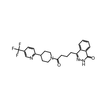 O=C(CCCc1n[nH]c(=O)c2ccccc12)N1CCC(c2ccc(C(F)(F)F)cn2)CC1